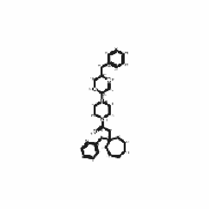 O=C(CC1(Cc2ccccc2)CCCCCC1)N1CCN(C2COC(Cc3ccccc3)CO2)CC1